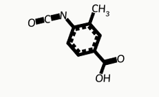 Cc1cc(C(=O)O)ccc1N=C=O